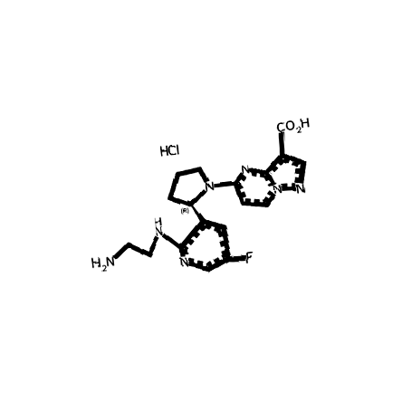 Cl.NCCNc1ncc(F)cc1[C@H]1CCCN1c1ccn2ncc(C(=O)O)c2n1